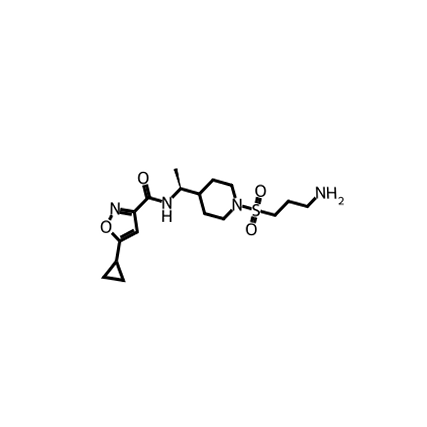 C[C@H](NC(=O)c1cc(C2CC2)on1)C1CCN(S(=O)(=O)CCCN)CC1